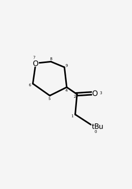 CC(C)(C)CC(=O)C1CCOCC1